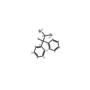 CC(c1ccccc1)(c1ccccc1)C(Br)Br